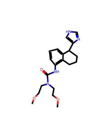 COCCN(CCOC)C(=O)Nc1cccc2c1CCCC2c1c[nH]cn1